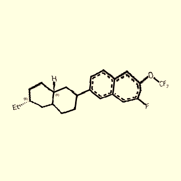 CC[C@@H]1CC[C@@H]2CC(c3ccc4cc(OC(F)(F)F)c(F)cc4c3)CCC2C1